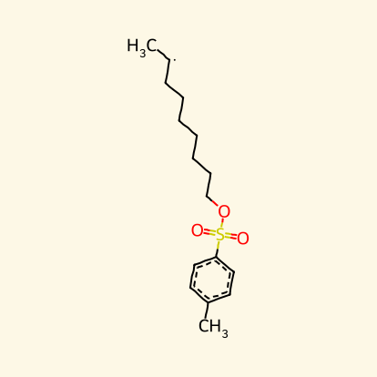 C[CH]CCCCCCCOS(=O)(=O)c1ccc(C)cc1